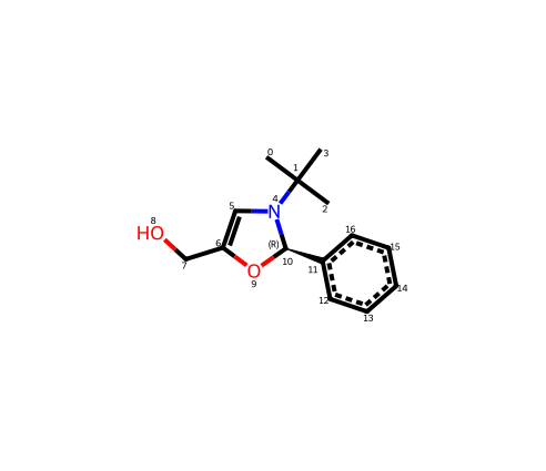 CC(C)(C)N1C=C(CO)O[C@@H]1c1ccccc1